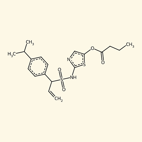 C=CC(c1ccc(C(C)C)cc1)S(=O)(=O)Nc1ncc(OC(=O)CCC)s1